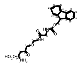 N[C@@H](CC(=O)COCNC(=O)CNC(=O)OCC1c2ccccc2-c2ccccc21)C(=O)O